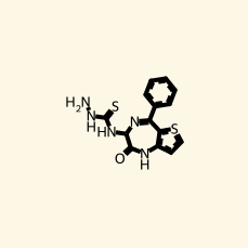 NNC(=S)NC1N=C(c2ccccc2)c2sccc2NC1=O